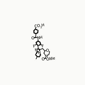 COC(=O)N1CCOC(Cc2c(-c3c(F)cc(NC(=O)c4ccc(C(=O)O)cc4)cc3F)nc3cc(C)ccn23)C1